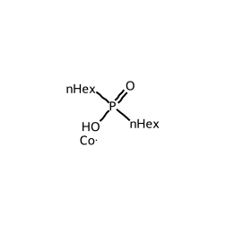 CCCCCCP(=O)(O)CCCCCC.[Co]